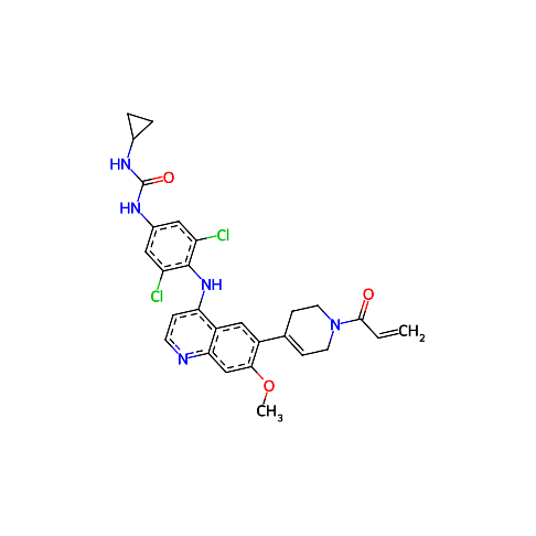 C=CC(=O)N1CC=C(c2cc3c(Nc4c(Cl)cc(NC(=O)NC5CC5)cc4Cl)ccnc3cc2OC)CC1